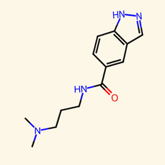 CN(C)CCCNC(=O)c1ccc2[nH]ncc2c1